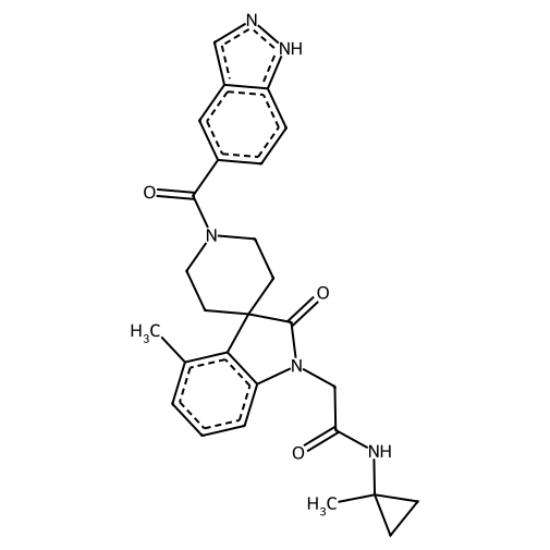 Cc1cccc2c1C1(CCN(C(=O)c3ccc4[nH]ncc4c3)CC1)C(=O)N2CC(=O)NC1(C)CC1